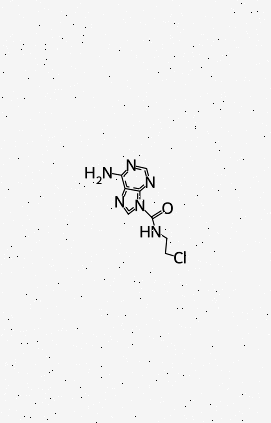 Nc1ncnc2c1ncn2C(=O)NCCCl